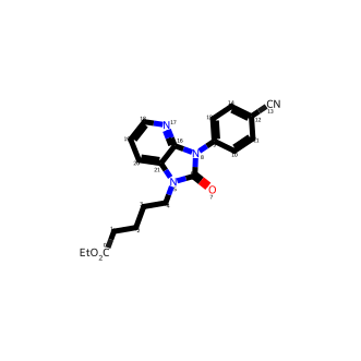 CCOC(=O)CCCCn1c(=O)n(-c2ccc(C#N)cc2)c2ncccc21